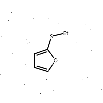 [CH2]CSc1ccco1